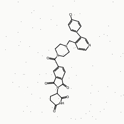 O=C1CCC(N2C(=O)c3ccc(C(=O)N4CCN(Cc5ccncc5-c5ccc(Cl)cc5)CC4)cc3C2=O)C(=O)N1